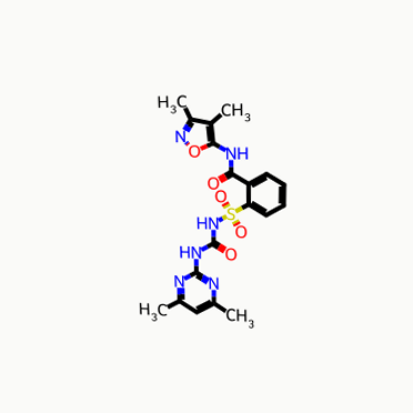 Cc1cc(C)nc(NC(=O)NS(=O)(=O)c2ccccc2C(=O)Nc2onc(C)c2C)n1